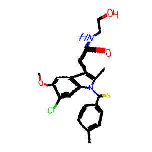 COc1cc2c(CC(=O)NCCO)c(C)n(C(=S)c3ccc(C)cc3)c2cc1Cl